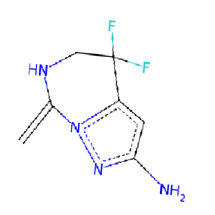 C=C1NCC(F)(F)c2cc(N)nn21